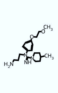 COCCOc1ccc(N(CCCN)C(=N)N2CCC(C)CC2)cc1